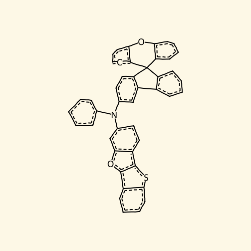 c1ccc(N(c2ccc3c(c2)-c2ccccc2C32c3ccccc3Oc3ccccc32)c2ccc3c(c2)oc2c4ccccc4sc32)cc1